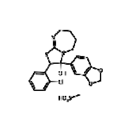 CS(=O)(=O)O.OC1(c2ccc3c(c2)OCO3)C(c2ccccc2Cl)SC2=NCCCCN21